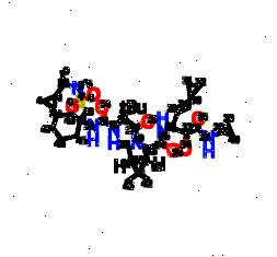 C[C@H](C1CC1)N(C)S(=O)(=O)CC1(NC(=O)N[C@H](C(=O)N2C[C@H]3[C@@H]([C@H]2C(=O)N[C@@H](CCC2CC2)C(=O)C(=O)NC2CC2)C3(C)C)C(C)(C)C)CCCCC1